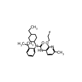 CCC1CCC(N(C(=O)Nc2ccc(C)nc2OCCF)c2ccccc2C(C)C)CC1